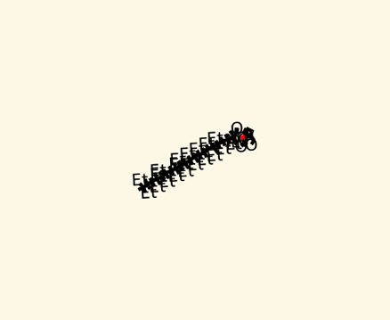 CCC(C)(C)C(C)(CC)C(C)(CC)C(C)(CC)C(C)(CC)C(C)(CC)C(C)(CC)C(C)(CC)C(C)(CC)C(C)(CC)C(C)(CC)C(C)(CC)C(C)(CC)C(C)(CC)C(C)(CC)C(C)(CC)C(C)(CC)C(C)(CC)C(C)(CC)C(C)(CC)C(=O)OC1C2CC3C1OC(=O)C3(C#N)C2